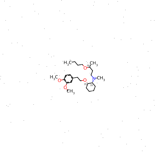 CCCCO[C@@H](C)CCN(C)[C@H]1CCCC[C@@H]1OCCc1ccc(OC)c(OC)c1